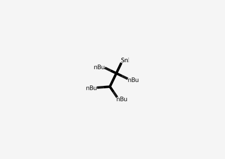 CCCCC(CCCC)[C]([Sn])(CCCC)CCCC